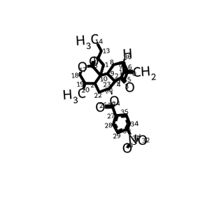 C=C1C(=O)[C@]23CC[C@H]1CC2C1(CCCC)C(=O)OCC(C)C1C[C@H]3OC(=O)c1ccc([N+](=O)[O-])cc1